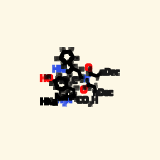 CCCCCCCCCCCC(=O)N(C(=O)CCCCCCCCCCC)[C@@H](Cc1c[nH]c2ccccc12)C(=O)O.N[C@@H](Cc1ccc(O)cc1)C(=O)O.[NaH].[NaH]